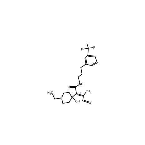 CCN1CCC(O)(/C(C(=O)NCCCc2cccc(C(F)(F)F)c2)=C(/C)C=O)CC1